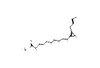 C/C=C/CC1=C(CCCCCCCCCC(=O)O)C1